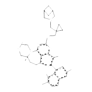 CC[C@@H]1CN2c3nc(OCC4(CN5CC6CC(C6)C5)CC4)nc4c(F)c(-c5cc(O)cc6ccc(F)c(C)c56)nc(c34)CC[C@@H]2CN1